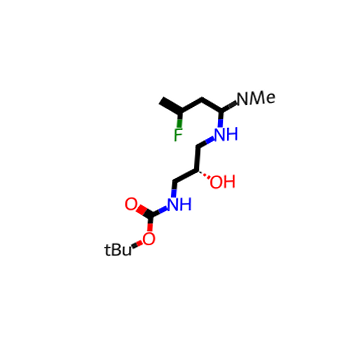 C=C(F)CC(NC)NC[C@H](O)CNC(=O)OC(C)(C)C